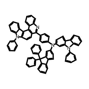 c1ccc(-n2c3ccccc3c3ccc(N(c4ccc(-c5nc6ccccc6c6c5ccc5c6c6ccccc6n5-c5ccccc5)cc4)c4ccc5c(c4)C(c4ccccc4)(c4ccccc4)c4ccccc4-5)cc32)cc1